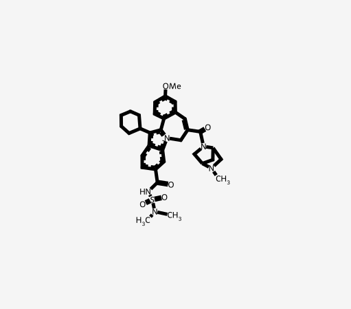 COc1ccc2c(c1)C=C(C(=O)N1CC3CC1CN3C)Cn1c-2c(C2CCCCC2)c2ccc(C(=O)NS(=O)(=O)N(C)C)cc21